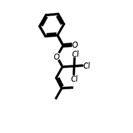 CC(C)=CC(OC(=O)c1ccccc1)C(Cl)(Cl)Cl